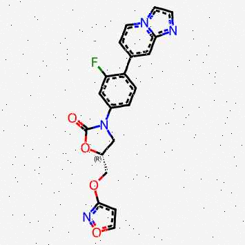 O=C1O[C@@H](COc2ccon2)CN1c1ccc(-c2ccn3ccnc3c2)c(F)c1